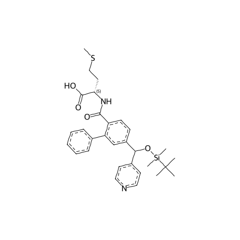 CSCC[C@H](NC(=O)c1ccc(C(O[Si](C)(C)C(C)(C)C)c2ccncc2)cc1-c1ccccc1)C(=O)O